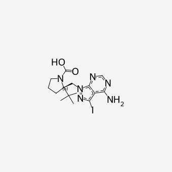 CC(C)(C)[C@]1(Cn2nc(I)c3c(N)ncnc32)CCCN1C(=O)O